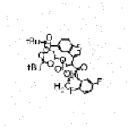 C=CN(C(=O)C(c1csc2ccc(Cl)cc12)P(=O)(O)OC(COC(=O)C(C)(C)C)OC(=O)C(C)(C)C)c1cc(F)ccc1F